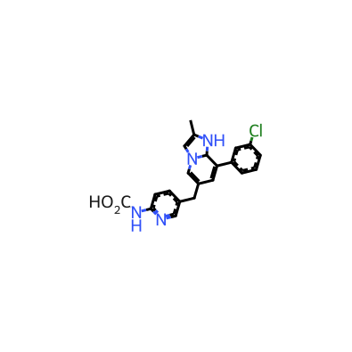 CC1=CN2C=C(Cc3ccc(NC(=O)O)nc3)C=C(c3cccc(Cl)c3)C2N1